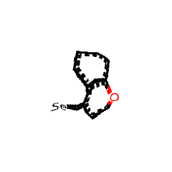 [Se]=c1ccoc2ccccc12